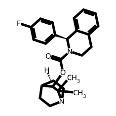 CC1(C)[C@H](OC(=O)N2CCc3ccccc3[C@@H]2c2ccc(F)cc2)C2CCN1CC2